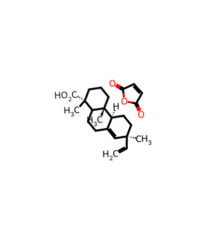 C=C[C@@]1(C)C=C2CCC3[C@](C)(C(=O)O)CCC[C@]3(C)[C@H]2CC1.O=C1C=CC(=O)O1